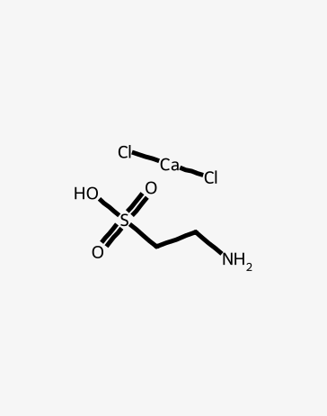 NCCS(=O)(=O)O.[Cl][Ca][Cl]